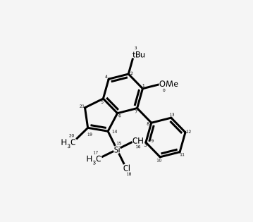 COc1c(C(C)(C)C)cc2c(c1-c1ccccc1)C([Si](C)(C)Cl)=C(C)C2